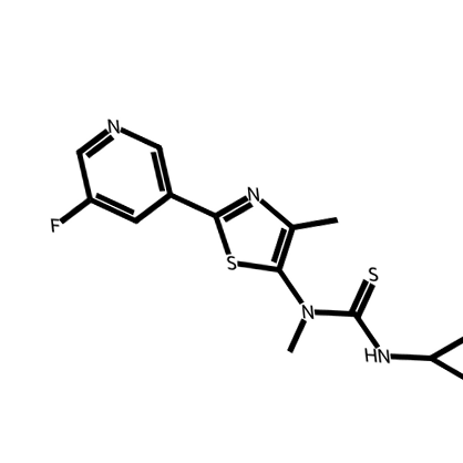 Cc1nc(-c2cncc(F)c2)sc1N(C)C(=S)NC1CC1